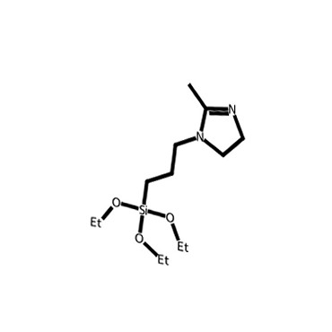 CCO[Si](CCCN1CCN=C1C)(OCC)OCC